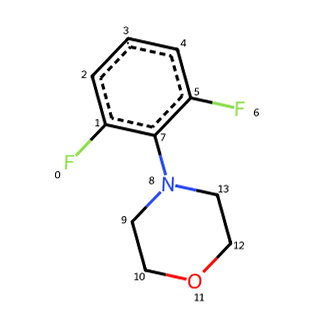 Fc1c[c]cc(F)c1N1CCOCC1